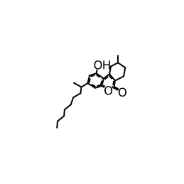 CCCCCCCC(C)c1cc(O)c2c3c(c(=O)oc2c1)CCC(C)C3